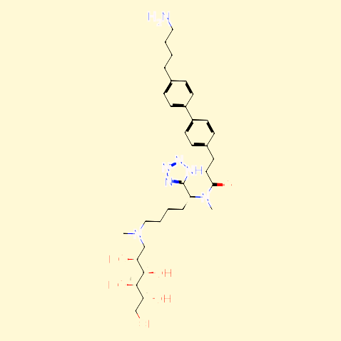 CN(CCCC[C@@H](c1nnn[nH]1)N(C)C(=O)CCc1ccc(-c2ccc(CCCCN)cc2)cc1)C[C@H](O)[C@@H](O)[C@H](O)[C@H](O)CO